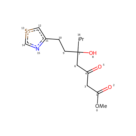 COC(=O)CC(=O)CC(O)(CCc1cscn1)C(C)C